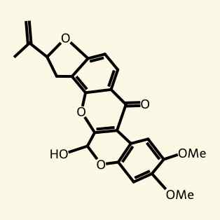 C=C(C)C1Cc2c(ccc3c(=O)c4c(oc23)C(O)Oc2cc(OC)c(OC)cc2-4)O1